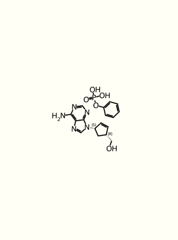 Nc1ncnc2c1ncn2[C@@H]1C=C[C@H](CO)C1.O=P(O)(O)Oc1ccccc1